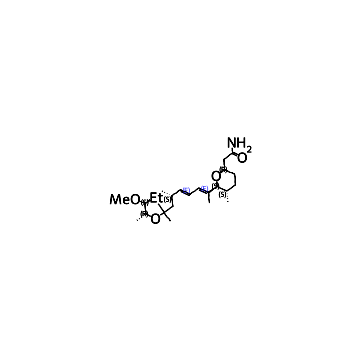 CC[C@H](OC)[C@@H](C)OC(C)(C)C[C@H](C)/C=C/C=C(\C)[C@H]1O[C@@H](CC(N)=O)CC[C@@H]1C